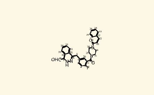 O=CC1NN=C(Cc2ccc(F)c(C(=O)N3CCN(C(=O)/C=C\c4ccccc4)CC3)c2)c2ccccc21